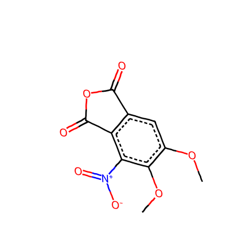 COc1cc2c(c([N+](=O)[O-])c1OC)C(=O)OC2=O